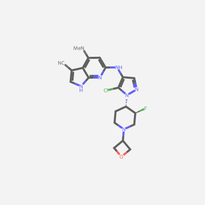 CNc1cc(Nc2cnn([C@H]3CCN(C4COC4)C[C@@H]3F)c2Cl)nc2[nH]cc(C#N)c12